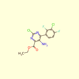 CCOC(=O)c1nc(Cl)nc(-c2ccc(F)c(Cl)c2F)c1N